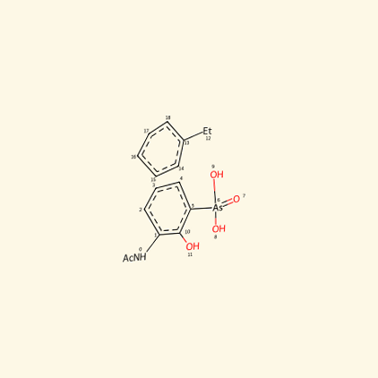 CC(=O)Nc1cccc([As](=O)(O)O)c1O.CCc1ccccc1